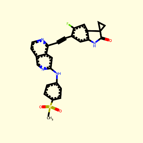 CS(=O)(=O)c1ccc(Nc2cc3c(C#Cc4cc5c(cc4F)C4(CC4)C(=O)N5)nccc3cn2)cc1